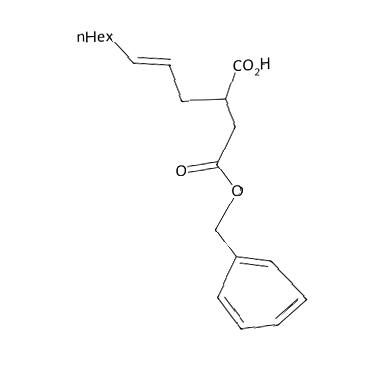 CCCCCC/C=C/CC(CC(=O)OCc1ccccc1)C(=O)O